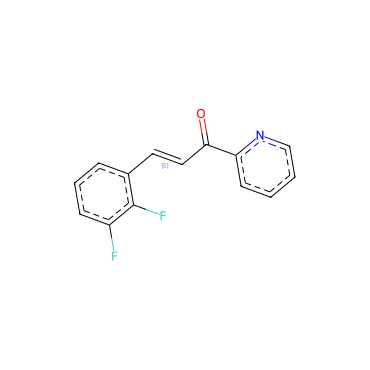 O=C(/C=C/c1cccc(F)c1F)c1ccccn1